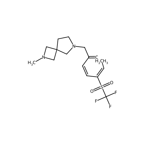 C=C(/C=C\C(=C/C)S(=O)(=O)C(F)(F)F)CN1CCC2(CN(C)C2)C1